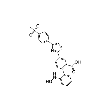 CS(=O)(=O)c1ccc(-c2csc(-c3ccc(-c4ccccc4NO)c(C(=O)O)c3)n2)cc1